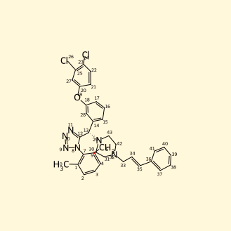 Cc1cccc(C)c1-n1nnnc1[C@H](c1cccc(Oc2ccc(Cl)c(Cl)c2)c1)N1CCN(C/C=C/c2ccccc2)CC1